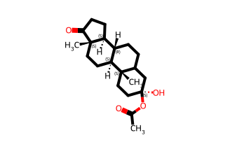 CC(=O)O[C@@]1(O)CC[C@@]2(C)C(CC[C@@H]3[C@@H]2CC[C@]2(C)C(=O)CC[C@@H]32)C1